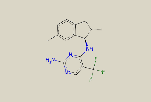 Cc1ccc2c(c1)[C@H](Nc1nc(N)ncc1C(F)(F)F)[C@@H](C)C2